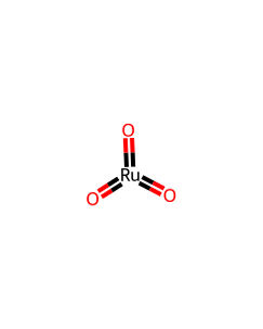 [O]=[Ru](=[O])=[O]